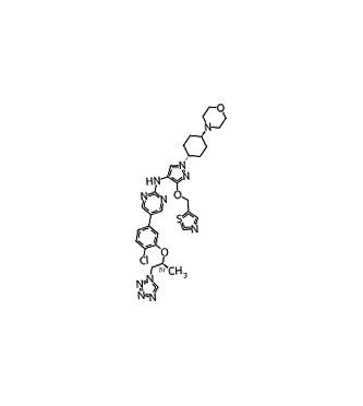 C[C@@H](Cn1cnnn1)Oc1cc(-c2cnc(Nc3cn([C@H]4CC[C@H](N5CCOCC5)CC4)nc3OCc3cncs3)nc2)ccc1Cl